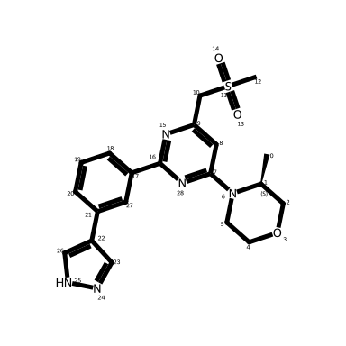 C[C@H]1COCCN1c1cc(CS(C)(=O)=O)nc(-c2cccc(-c3cn[nH]c3)c2)n1